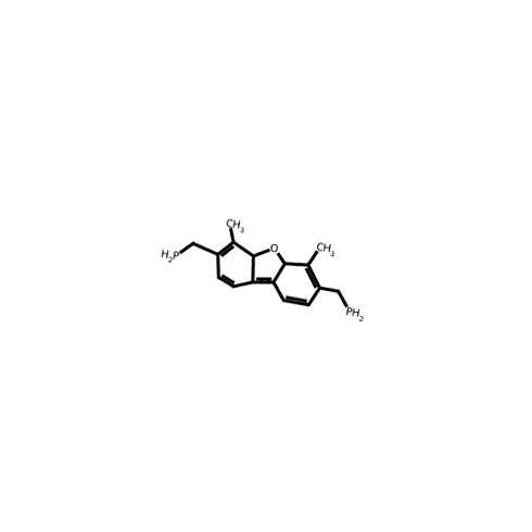 CC1=C(CP)C=CC2=C3C=CC(CP)=C(C)C3OC12